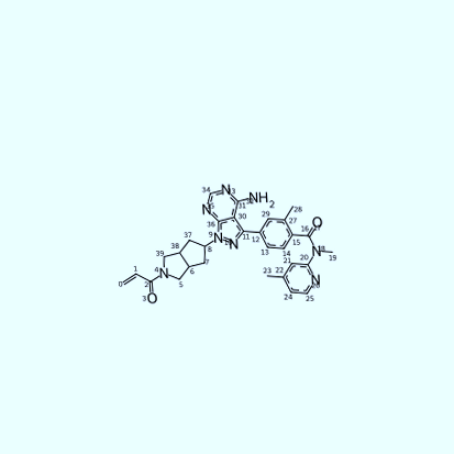 C=CC(=O)N1CC2CC(n3nc(-c4ccc(C(=O)N(C)c5cc(C)ccn5)c(C)c4)c4c(N)ncnc43)CC2C1